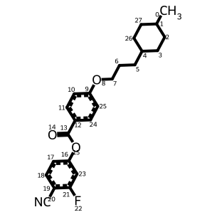 CC1CCC(CCCOc2ccc(C(=O)Oc3ccc(C#N)c(F)c3)cc2)CC1